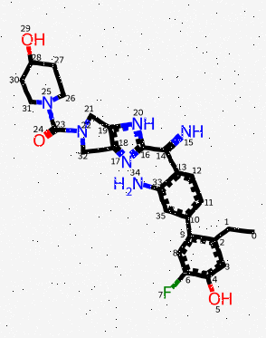 CCc1cc(O)c(F)cc1-c1ccc(C(=N)c2nc3c([nH]2)CN(C(=O)N2CCC(O)CC2)C3)c(N)c1